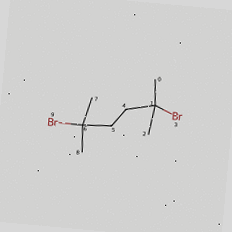 CC(C)(Br)CCC(C)(C)Br